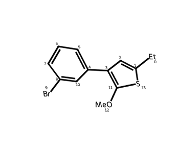 CCc1cc(-c2cccc(Br)c2)c(OC)s1